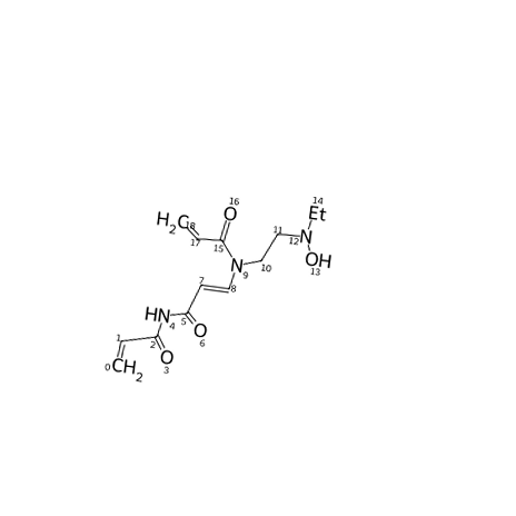 C=CC(=O)NC(=O)C=CN(CCN(O)CC)C(=O)C=C